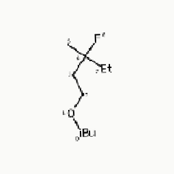 CCC(C)OCCC(C)(F)CC